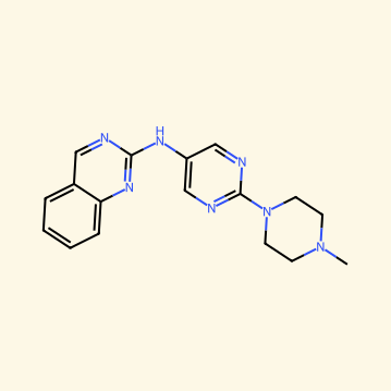 CN1CCN(c2ncc(Nc3ncc4ccccc4n3)cn2)CC1